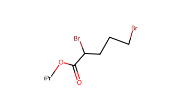 CC(C)OC(=O)C(Br)CCCBr